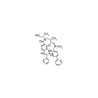 C[C@@H]1CN([C@@H](C)CO)C(=O)c2cccc(NC(=O)[C@H](O)c3ccccc3)c2O[C@@H]1CN(C)Cc1ccc(-c2ccccc2)cc1